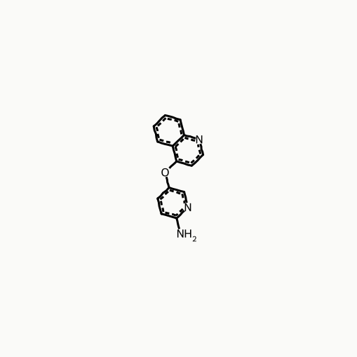 Nc1ccc(Oc2ccnc3ccccc23)cn1